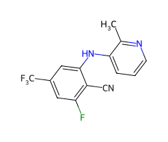 Cc1ncccc1Nc1cc(C(F)(F)F)cc(F)c1C#N